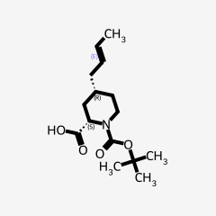 C/C=C/C[C@@H]1CCN(C(=O)OC(C)(C)C)[C@H](C(=O)O)C1